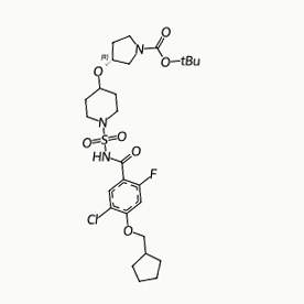 CC(C)(C)OC(=O)N1CC[C@@H](OC2CCN(S(=O)(=O)NC(=O)c3cc(Cl)c(OCC4CCCC4)cc3F)CC2)C1